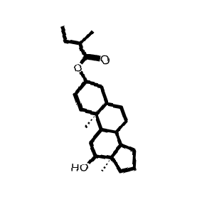 CCC(C)C(=O)OC1CC[C@@]2(C)C(CCC3C4CCC[C@@]4(C)C(O)CC32)C1